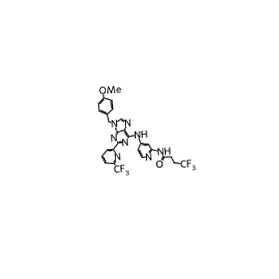 COc1ccc(Cn2cnc3c(Nc4ccnc(NC(=O)CCC(F)(F)F)c4)nc(-c4cccc(C(F)(F)F)n4)nc32)cc1